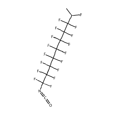 CC(F)C(F)(F)C(F)(F)C(F)(F)C(F)(F)C(F)(F)C(F)(F)C(F)(F)C(F)(F)N=C=O